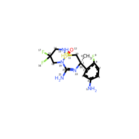 C[C@@]1(c2cc(N)ccc2F)C[SH]2(=O)NCC(F)(F)CN2C(N)=N1